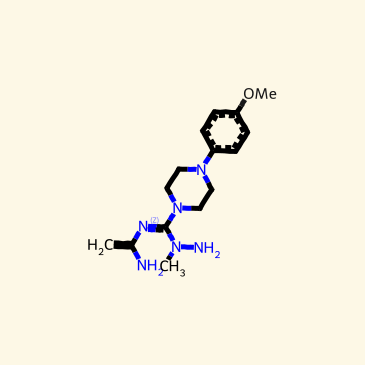 C=C(N)/N=C(\N(C)N)N1CCN(c2ccc(OC)cc2)CC1